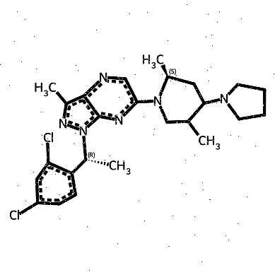 Cc1nn([C@H](C)c2ccc(Cl)cc2Cl)c2nc(N3CC(C)C(N4CCCC4)C[C@@H]3C)cnc12